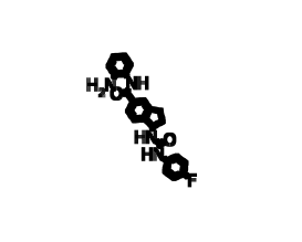 Nc1ccccc1NC(=O)c1ccc2c(c1)CCC2NC(=O)Nc1ccc(F)cc1